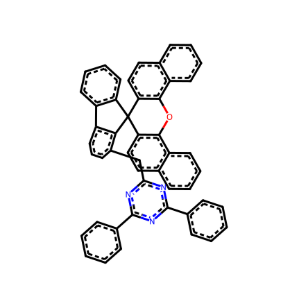 c1ccc(-c2nc(Cc3cccc4c3C3(c5ccccc5-4)c4ccc5ccccc5c4Oc4c3ccc3ccccc43)nc(-c3ccccc3)n2)cc1